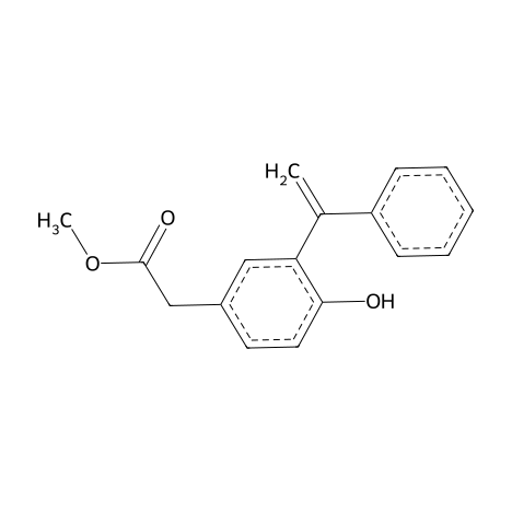 C=C(c1ccccc1)c1cc(CC(=O)OC)ccc1O